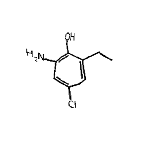 CCc1cc(Cl)cc(N)c1O